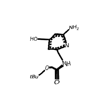 CC(C)(C)OC(=O)Nc1cc(O)cc(N)n1